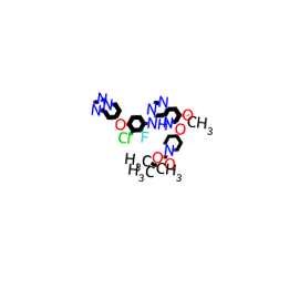 COc1cc2ncnc(Nc3ccc(Oc4ccn5ncnc5c4)c(Cl)c3F)c2nc1OC1CCN(C(=O)OC(C)(C)C)CC1